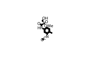 COP(=O)(CO)C(=O)Nc1ccc(C)c(N=C=O)c1